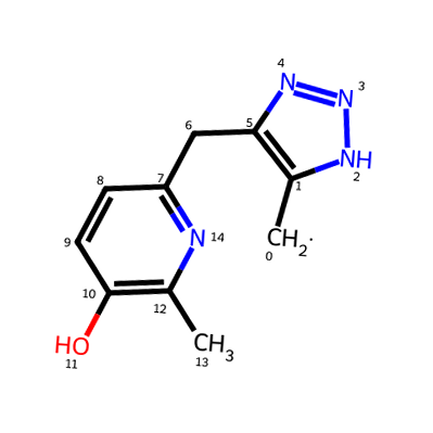 [CH2]c1[nH]nnc1Cc1ccc(O)c(C)n1